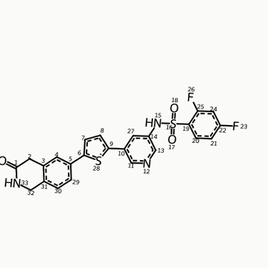 O=C1Cc2cc(-c3ccc(-c4cncc(NS(=O)(=O)c5ccc(F)cc5F)c4)s3)ccc2CN1